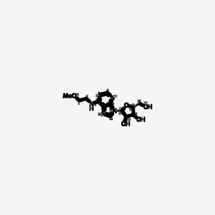 COCCNc1ncnc2c1ncn2[C@@H]1O[C@H](CO)C(O)C1O